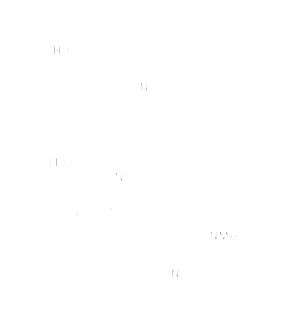 CCc1ncc(C(C)NC(=O)c2ccnc(NC)c2)cc1C